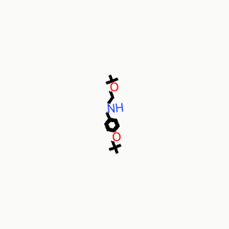 CC(C)(C)COc1ccc(CNCCCOC(C)(C)C)cc1